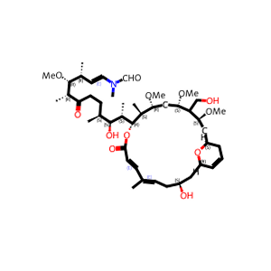 CO[C@H]([C@H](C)/C=C/N(C)C=O)[C@@H](C)C(=O)CC[C@H](C)[C@H](O)[C@H](C)[C@H]1OC(=O)/C=C/C(C)=C/C[C@H](O)C[C@@H]2C=CC[C@@H](C[C@H](OC)C(CO)[C@@H](OC)C[C@@H](OC)[C@@H]1C)O2